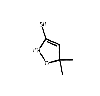 CC1(C)C=C(S)NO1